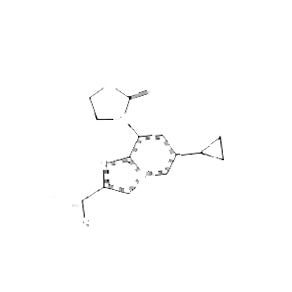 C[C@@H](N)c1cn2cc(C3CC3)cc(N3CCOC3=O)c2n1